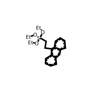 CCO[Si](CCc1c2ccccc2cc2ccccc12)(OCC)OCC